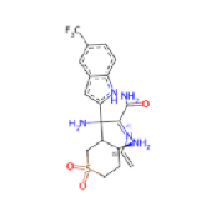 C=C/N=C(/C(N)=O)C(N)(c1cc2cc(C(F)(F)F)ccc2[nH]1)C1CS(=O)(=O)CC[C@@H]1N